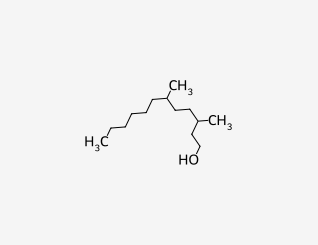 CCCCCCC(C)CCC(C)CCO